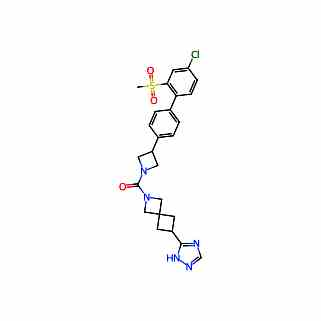 CS(=O)(=O)c1cc(Cl)ccc1-c1ccc(C2CN(C(=O)N3CC4(CC(c5ncn[nH]5)C4)C3)C2)cc1